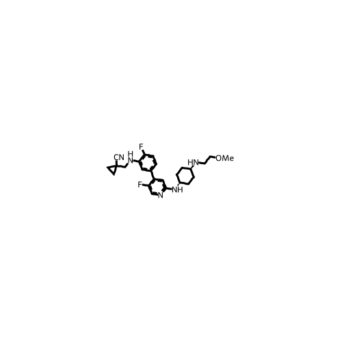 COCCN[C@H]1CC[C@H](Nc2cc(-c3ccc(F)c(NCC4(C#N)CC4)c3)c(F)cn2)CC1